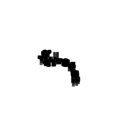 Cc1ccc(C(C)C)c(N2/C(=N/C(=S)N/N=C/c3ccc(-c4ncn(-c5ccc(OC(F)(F)F)cc5)n4)cc3)SCC2F)c1